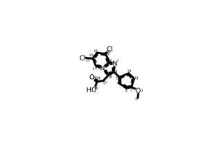 COc1ccc(-c2nc3c(Cl)cc(Cl)cn3c2CC(=O)O)cc1